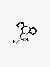 CN(C)CC1Sc2ccccc2Oc2ccccc21